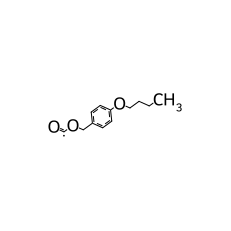 CCCCOc1ccc(CO[C]=O)cc1